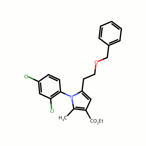 CCOC(=O)c1cc(CCOCc2ccccc2)n(-c2ccc(Cl)cc2Cl)c1C